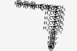 CC[O+](CC)CC.CC[O+](CC)CC.CC[O+](CC)CC.CC[O+](CC)CC.CC[O+](CC)CC.CC[O+](CC)CC.CC[O+](CC)CC.O=S(=O)([O-])C(F)(F)F.O=S(=O)([O-])C(F)(F)F.O=S(=O)([O-])C(F)(F)F.O=S(=O)([O-])C(F)(F)F.O=S(=O)([O-])C(F)(F)F.O=S(=O)([O-])C(F)(F)F.[O]=[Nb](=[O])[O-]